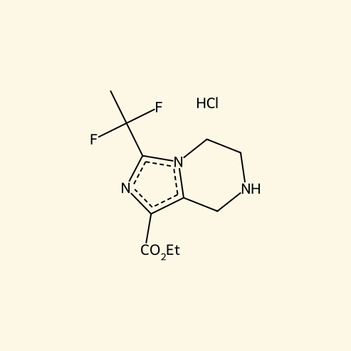 CCOC(=O)c1nc(C(C)(F)F)n2c1CNCC2.Cl